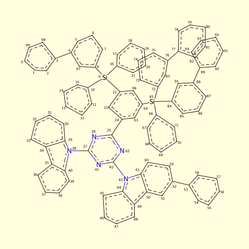 c1ccc(-c2cccc([Si](c3ccccc3)(c3ccccc3)c3cc(-c4nc(-n5c6ccccc6c6ccccc65)nc(-n5c6ccccc6c6cc(-c7ccccc7)ccc65)n4)cc([Si](c4ccccc4)(c4cccc(-c5ccccc5)c4)c4cccc(-c5ccccc5)c4)c3)c2)cc1